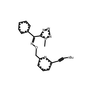 CCCCC#Cc1cccc(CON=C(c2ccccc2)c2nnnn2C)n1